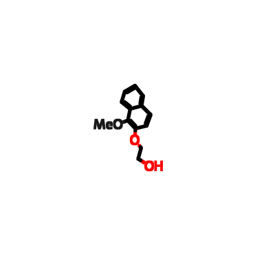 COc1c(OCCO)ccc2ccccc12